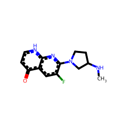 CNC1CCN(c2nc3[nH]ccc(=O)c3cc2F)C1